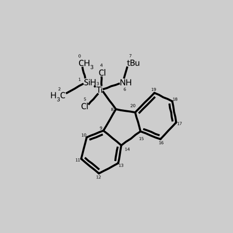 C[SiH](C)[Ti]([Cl])([Cl])([NH]C(C)(C)C)[CH]1c2ccccc2-c2ccccc21